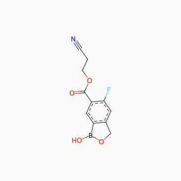 N#CCCOC(=O)c1cc2c(cc1F)COB2O